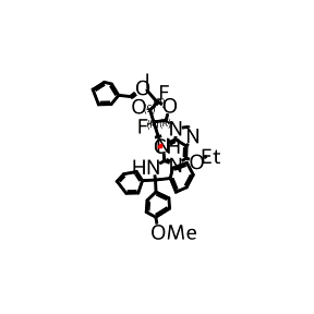 C#C[C@]1(F)[C@H](n2cnc3c(OCC)nc(NC(c4ccccc4)(c4ccccc4)c4ccc(OC)cc4)nc32)O[C@](F)(CI)[C@H]1OC(=O)c1ccccc1